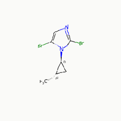 FC(F)(F)[C@H]1C[C@@H]1n1c(Br)cnc1Br